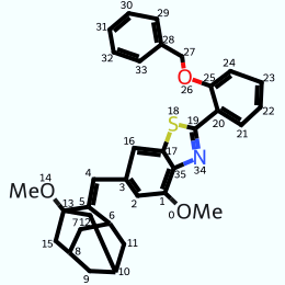 COc1cc(C=C2C3CC4CC(C3)CC2(OC)C4)cc2sc(-c3ccccc3OCc3ccccc3)nc12